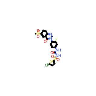 CS(=O)(=O)c1ccc2ncn(-c3ccc(NC(=O)NS(=O)(=O)C4=CCC(Cl)S4)cc3F)c(=O)c2c1